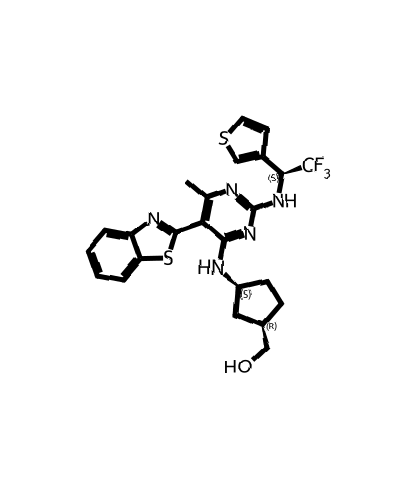 Cc1nc(N[C@@H](c2ccsc2)C(F)(F)F)nc(N[C@H]2CC[C@@H](CO)C2)c1-c1nc2ccccc2s1